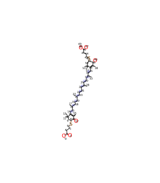 COC(=O)CCCSC1CC(C)(C)C(/C=C/C(C)=C/C=C/C(C)=C/C=C/C=C(C)/C=C/C=C(C)/C=C/C2=C(C)C(=O)C(SCCCC(=O)OC)CC2(C)C)=C(C)C1=O